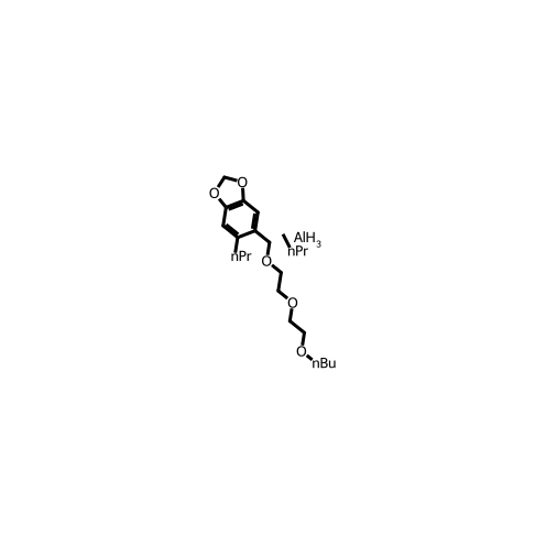 CCCC.CCCCOCCOCCOCc1cc2c(cc1CCC)OCO2.[AlH3]